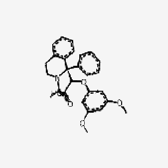 COc1cc(OC)cc(OC(C(=O)O)[C@]2(c3ccccc3)c3ccccc3CCN2C(C)=O)c1